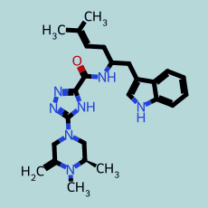 C=C1CN(c2nnc(C(=O)NC(CC=C(C)C)Cc3c[nH]c4ccccc34)[nH]2)C[C@@H](C)N1C